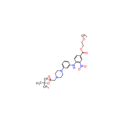 COCCOC(=O)c1ccc(Nc2cccc(N3CCN(CC(=O)OC(C)(C)C)CC3)c2)c([N+](=O)[O-])c1